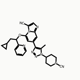 Cc1c(-c2cc(OC(CC3CC3)c3ccccn3)n3c(C#N)cnc3c2)nnn1C1CCN(C#N)CC1